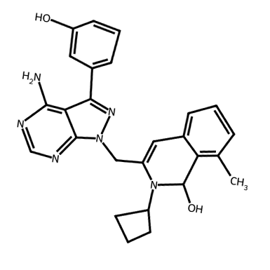 Cc1cccc2c1C(O)N(C1CCC1)C(Cn1nc(-c3cccc(O)c3)c3c(N)ncnc31)=C2